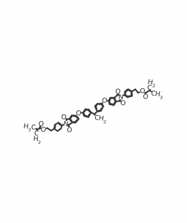 C=C(C)C(=O)OCCC1=CC=C(N2C(=O)c3ccc(Oc4ccc(C(=C)c5ccc(Oc6ccc7c(c6)C(=O)N(c6ccc(CCOC(=O)C(=C)C)cc6)C7=O)cc5)cc4)cc3C2=O)CC1